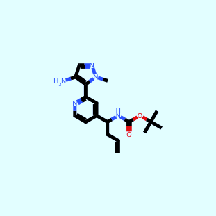 C=CCC(NC(=O)OC(C)(C)C)c1ccnc(-c2c(N)cnn2C)c1